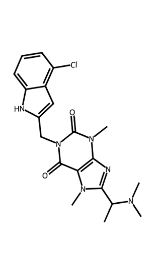 CC(c1nc2c(c(=O)n(Cc3cc4c(Cl)cccc4[nH]3)c(=O)n2C)n1C)N(C)C